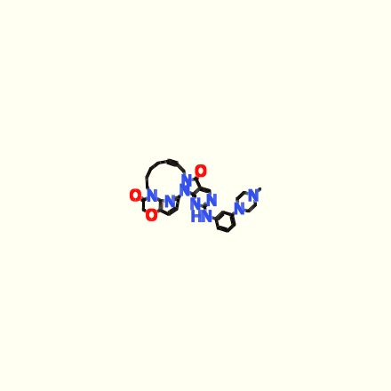 CN1CCN(c2cccc(Nc3ncc4c(=O)n5n(c4n3)-c3ccc4c(n3)N(CCCCC#CC5)C(=O)CO4)c2)CC1